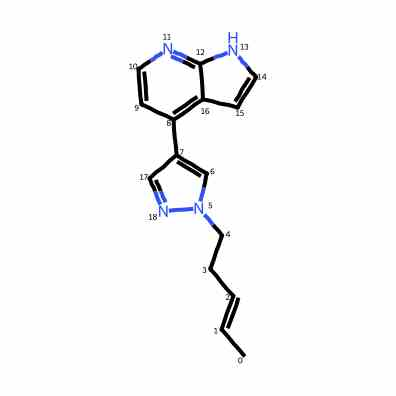 CC=CCCn1cc(-c2ccnc3[nH]ccc23)cn1